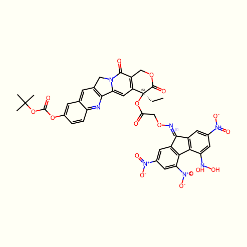 CC[C@@]1(OC(=O)CO/N=C2/c3cc([N+](=O)[O-])cc(N(O)O)c3-c3c2cc([N+](=O)[O-])cc3[N+](=O)[O-])C(=O)OCc2c1cc1n(c2=O)Cc2cc3cc(OC(=O)OC(C)(C)C)ccc3nc2-1